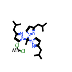 CC(C)Cc1ccn(C(C)(n2ccc(CC(C)C)n2)n2ccc(CC(C)C)n2)n1.[Cl][Mn][Cl]